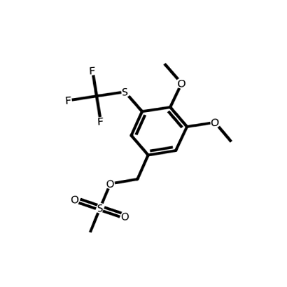 COc1cc(COS(C)(=O)=O)cc(SC(F)(F)F)c1OC